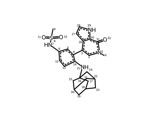 Cn1cc(-c2cc(NS(C)(=O)=O)ccc2NC23CC4CC(CC(C4)C2)C3)c2cc[nH]c2c1=O